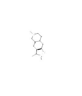 CC1C2=C(CC3CCN(C)CC3C2)NN1C